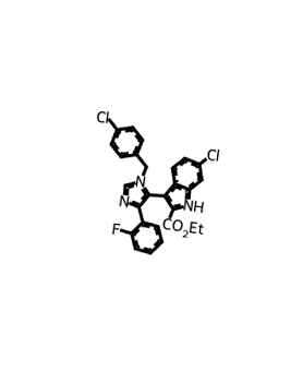 CCOC(=O)c1[nH]c2cc(Cl)ccc2c1-c1c(-c2ccccc2F)ncn1Cc1ccc(Cl)cc1